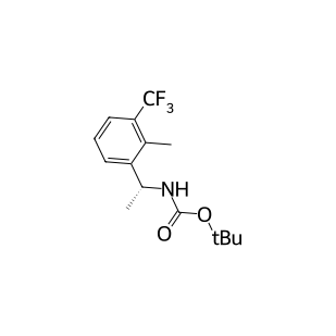 Cc1c([C@@H](C)NC(=O)OC(C)(C)C)cccc1C(F)(F)F